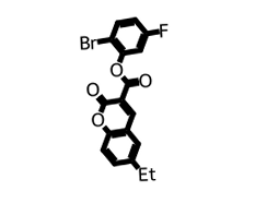 CCc1ccc2oc(=O)c(C(=O)Oc3cc(F)ccc3Br)cc2c1